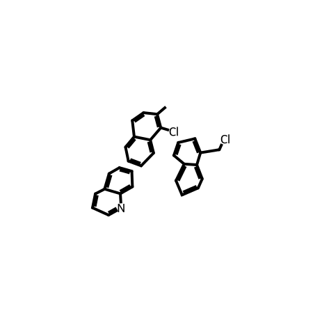 Cc1ccc2ccccc2c1Cl.ClCc1cccc2ccccc12.c1ccc2ncccc2c1